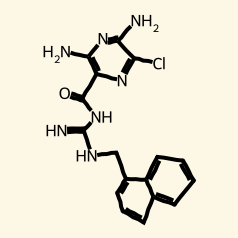 N=C(NCc1cccc2ccccc12)NC(=O)c1nc(Cl)c(N)nc1N